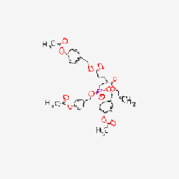 C=CCOC(=O)C(CCC(=O)OCc1ccc(OC(C)=O)cc1)CP(=O)(OCc1ccc(OC(C)=O)cc1)OCc1ccc(OC(C)=O)cc1